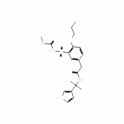 CCCOc1ccc(CC(=O)NC(C)(C)c2cc[nH]c2)cc1S(=O)(=O)NC(=O)NC